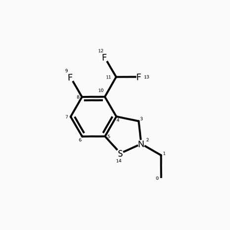 CCN1Cc2c(ccc(F)c2C(F)F)S1